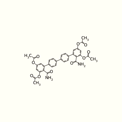 CC(=O)Oc1cc(OC(C)=O)c(C(N)=O)c(-c2ccc(-c3ccc(-c4cc(OC(C)=O)cc(OC(C)=O)c4C(N)=O)cc3)cc2)c1